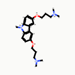 CN(C)CCCOc1ccc2c(c1)c1cc(OCCCN(C)C)ccc1n2C